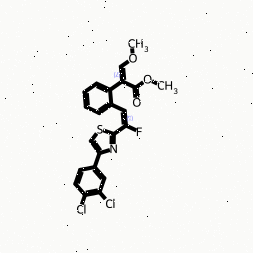 CO/C=C(\C(=O)OC)c1ccccc1/C=C(/F)c1nc(-c2ccc(Cl)c(Cl)c2)cs1